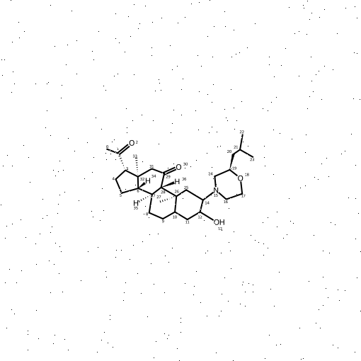 CC(=O)[C@H]1CC[C@H]2[C@@H]3CCC4CC(O)C(N5CCO[C@H](CC(C)C)C5)C[C@]4(C)[C@H]3C(=O)C[C@]12C